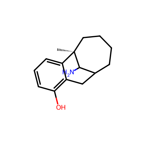 C[C@@]12CCCCC(Cc3c(O)cccc31)C2N